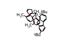 [CH2]=[Zr]([C]1=CC=CC1)([c]1cccc(C)c1)([c]1cccc(C)c1)[c]1c(C(C)(C)C)ccc2c1Cc1cc(C(C)(C)C)ccc1-2